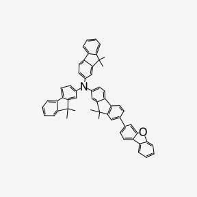 CC1(C)c2ccccc2-c2ccc(N(c3ccc4c(c3)C(C)(C)c3ccccc3-4)c3ccc4c(c3)C(C)(C)c3cc(-c5ccc6c(c5)oc5ccccc56)ccc3-4)cc21